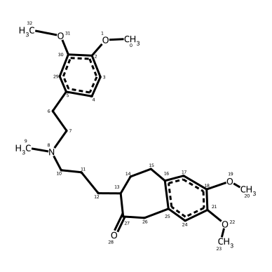 COc1ccc(CCN(C)CCCC2CCc3cc(OC)c(OC)cc3CC2=O)cc1OC